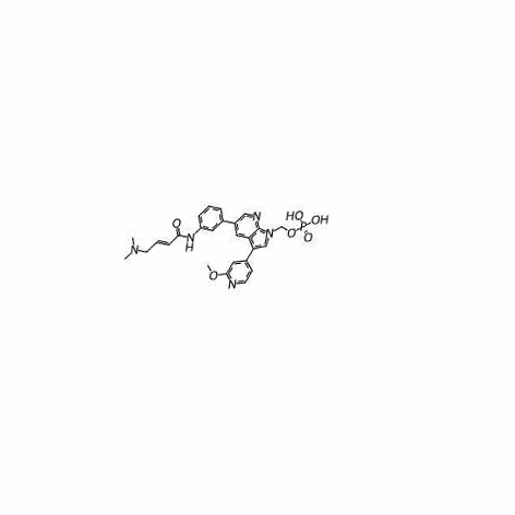 COc1cc(-c2cn(COP(=O)(O)O)c3ncc(-c4cccc(NC(=O)C=CCN(C)C)c4)cc23)ccn1